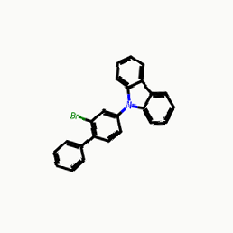 Brc1cc(-n2c3ccccc3c3ccccc32)ccc1-c1ccccc1